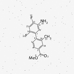 COC(=O)c1ccc(-c2cc(N)c(F)cc2F)c(C)c1